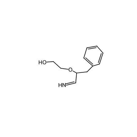 N=CC(Cc1ccccc1)OCCO